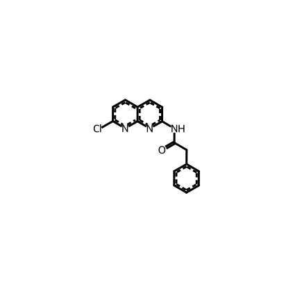 O=C(Cc1ccccc1)Nc1ccc2ccc(Cl)nc2n1